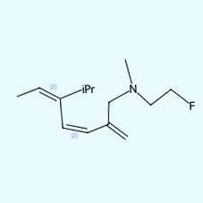 C=C(/C=C\C(=C/C)C(C)C)CN(C)CCF